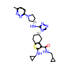 Cc1ccc(N2CC[C@H](Nc3nncn3[C@H]3CCc4sc(NC5CC5)c(C(=O)NCC5CC5)c4C3)C2)nn1